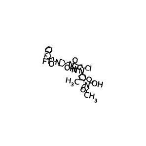 Cc1cc(-n2c(Cl)cc3c(=O)n(CC4(O)CCN(C(=O)C[C@H](c5ccccc5)C(F)(F)F)CC4)cnc32)ccc1[C@H]1CO[C@H](C)CN1C(=O)O